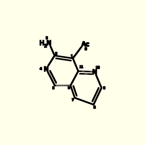 CC(=O)c1c(N)ncc2cccnc12